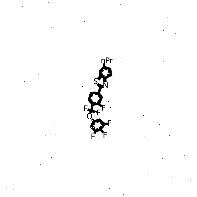 CCCc1ccc2nc(-c3ccc(C(F)(F)Oc4cc(F)c(F)c(F)c4)c(F)c3)sc2c1